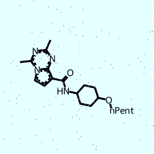 CCCCCOC1CCC(NC(=O)c2ccn3c(C)nc(C)nc23)CC1